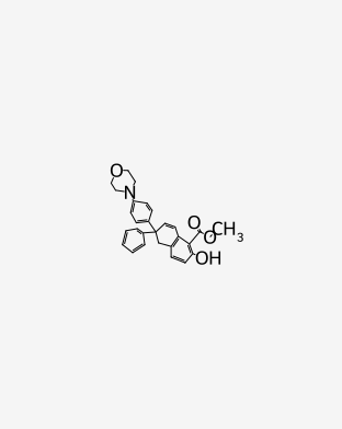 COC(=O)c1c(O)ccc2c1C=CC(c1ccccc1)(c1ccc(N3CCOCC3)cc1)C2